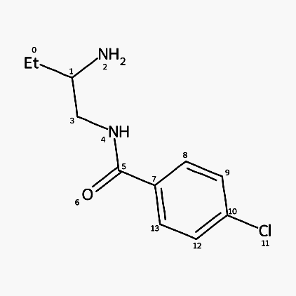 CCC(N)CNC(=O)c1ccc(Cl)cc1